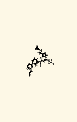 CNc1cc(Nc2cccn([C@H]3CCCN(CCF)C3)c2=O)nc2c(C(=O)NC3CC3)cnn12